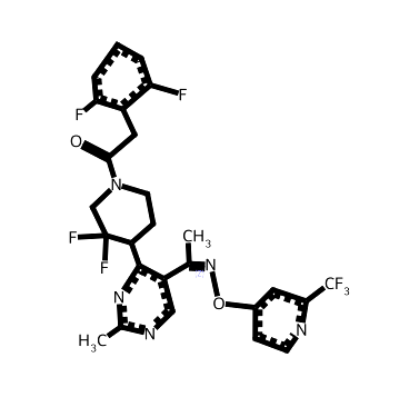 C/C(=N/Oc1ccnc(C(F)(F)F)c1)c1cnc(C)nc1C1CCN(C(=O)Cc2c(F)cccc2F)CC1(F)F